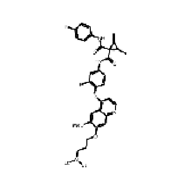 CCN(CC)CCCOc1cc2nccc(Oc3ccc(NC(=O)C4(C(=O)Nc5ccc(F)cc5)C(C)C4C)cc3F)c2cc1OC